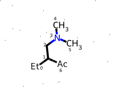 CCC(CN(C)C)C(C)=O